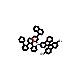 CC(C)(C)c1ccc2c(c1)C1(c3ccccc3-c3cc(N(C4=CC(c5cccc6ccccc56)=CCC4)c4ccccc4-c4ccccc4-c4ccccc4-c4ccccc4)ccc31)c1cc(C(C)(C)C)ccc1-2